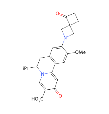 COc1cc2c(cc1N1CC3(CCC3=O)C1)CC(C(C)C)n1cc(C(=O)O)c(=O)cc1-2